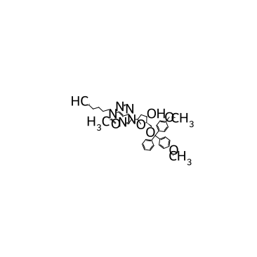 C#CCCCCN(C(C)=O)c1ncnc2c1ncn2[C@H]1C[C@H](O)[C@@H](COC(c2ccccc2)(c2ccc(OC)cc2)c2ccc(OC)cc2)O1